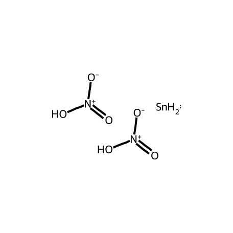 O=[N+]([O-])O.O=[N+]([O-])O.[SnH2]